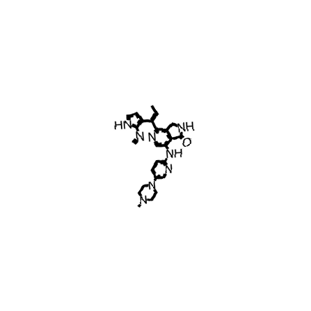 C=Nc1[nH]ccc1/C(=C\C)c1ncc(Nc2ccc(N3CCN(C)CC3)cn2)c2c1CNC2=O